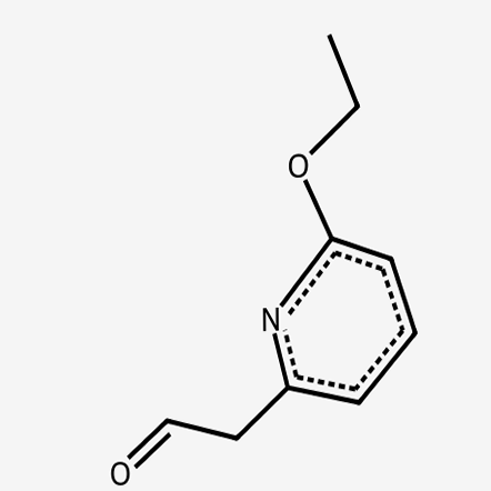 CCOc1cccc(CC=O)n1